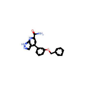 NC(=O)c1cc(-c2cccc(OCc3ccccc3)c2)c2cn[nH]c2n1